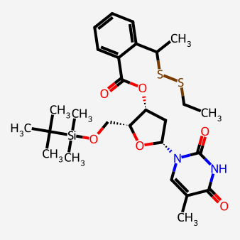 CCSSC(C)c1ccccc1C(=O)O[C@@H]1C[C@H](n2cc(C)c(=O)[nH]c2=O)O[C@@H]1CO[Si](C)(C)C(C)(C)C